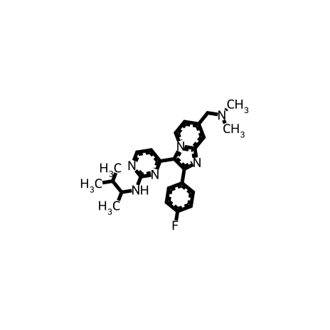 CC(C)C(C)Nc1nccc(-c2c(-c3ccc(F)cc3)nc3cc(CN(C)C)ccn23)n1